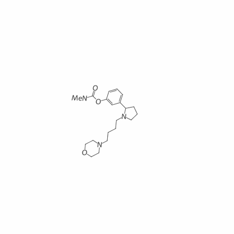 CNC(=O)Oc1cccc(C2CCCN2CCCCN2CCOCC2)c1